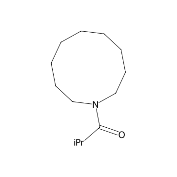 CC(C)C(=O)N1CCCCCCCCC1